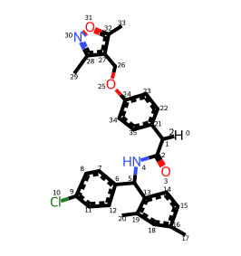 [2H]C(C(=O)NC(c1ccc(Cl)cc1)c1ccc(C)cc1C)c1ccc(OCc2c(C)noc2C)cc1